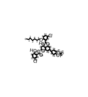 CCCCCCCOc1ccc(Cl)cc1C(=O)NC(CC(=O)OC(=O)c1cc(Cl)ccc1O)c1ccc(-c2ccc(OC(F)(F)F)cc2)cc1